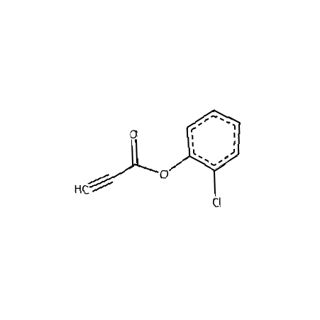 C#CC(=O)Oc1ccccc1Cl